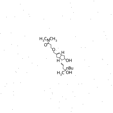 CCCC[C@](C)(O)C/C=C/[C@@H]1[C@H]2CC(COCCC(=O)N(C)C)=C[C@H]2C[C@H]1O